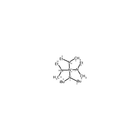 CCC(C)N(C(C)CC)[N+](N(C)CC)(N(C)CC)N(C)CC